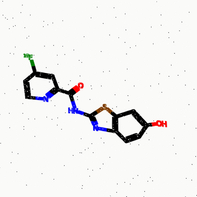 O=C(Nc1nc2ccc(O)cc2s1)c1cc([18F])ccn1